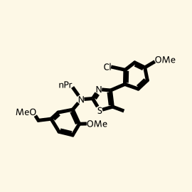 CCCN(c1nc(-c2ccc(OC)cc2Cl)c(C)s1)c1cc(COC)ccc1OC